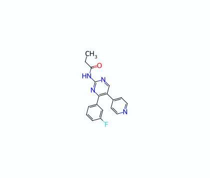 CCC(=O)Nc1ncc(-c2ccncc2)c(-c2cccc(F)c2)n1